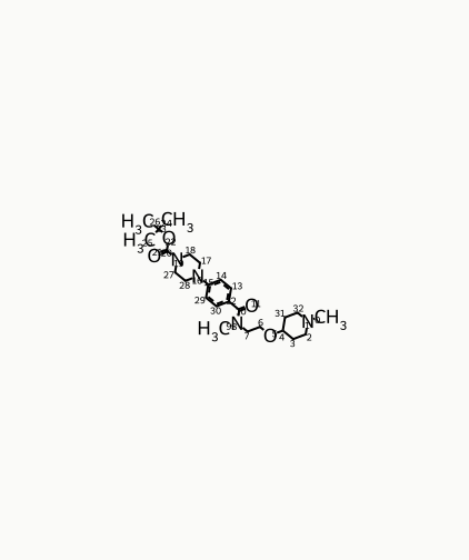 CN1CCC(OCCN(C)C(=O)c2ccc(N3CCN(C(=O)OC(C)(C)C)CC3)cc2)CC1